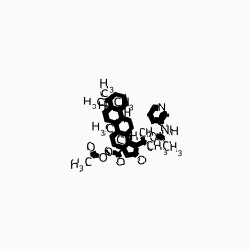 CC(=O)Nc1cccnc1.CC(=O)OOC(=O)[C@@]12CC[C@]3(C)[C@H](CC[C@@H]4[C@@]5(C)CCCC(C)(C)[C@@H]5CC[C@]43C)C1=C(C(C)C)C(=O)C2